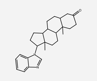 CC12CCC(=O)CC1CCC1C2CCC2(C)C1CCC2n1cnc2ccccc21